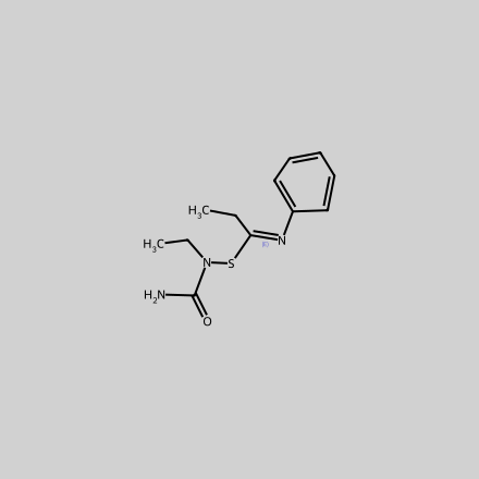 CC/C(=N\c1ccccc1)SN(CC)C(N)=O